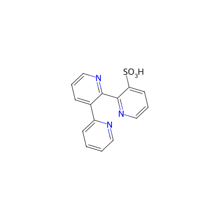 O=S(=O)(O)c1cccnc1-c1ncccc1-c1ccccn1